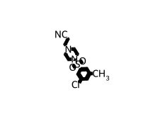 Cc1cc(Cl)cc(S(=O)(=O)N2CCN(CCC#N)CC2)c1